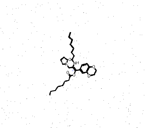 CCCCCCCC(=O)N/C(CN1CCCC1)=C(/OC(=O)CCCCCCC)c1ccc2c(c1)OCCO2